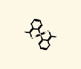 O=S(=O)(C1=CC=CCC1=C(F)Br)C1=CC=CCC1=C(F)Br